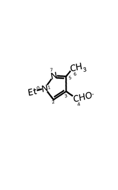 CCn1cc([C]=O)c(C)n1